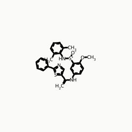 C=C(Nc1ccc(OC)c([S+]([O-])Nc2c(C)cccc2C)c1)c1cnc(-c2ccccc2)s1